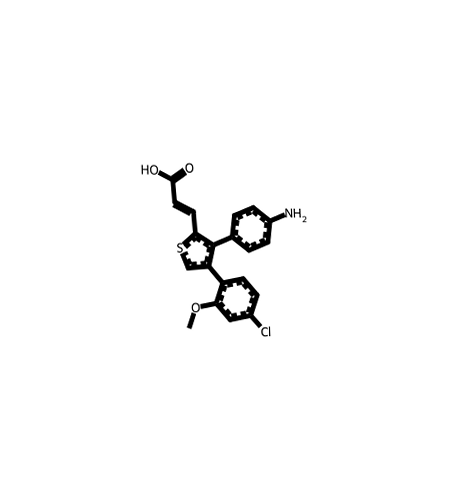 COc1cc(Cl)ccc1-c1csc(/C=C/C(=O)O)c1-c1ccc(N)cc1